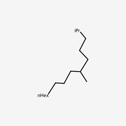 [CH2]C(C)CCCC(C)CCCCCCCCC